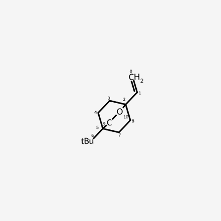 C=CC12CCC(C(C)(C)C)(CC1)CO2